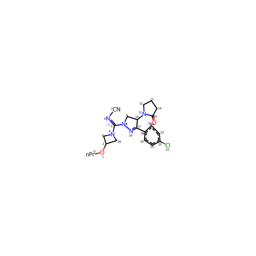 CCCOC1CN(/C(=N/C#N)N2CC(N3CCCC3=O)C(c3ccc(Cl)cc3)=N2)C1